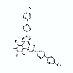 CC12C=C(c3ccc(-c4ccc(C#N)cc4)cc3)SC1=C1SC(c3ccc(-c4ccc(C#N)cc4)cc3)=CC1(C)c1c(F)c(F)c(F)c(F)c12